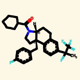 CC(F)(c1ccc2c(c1)CC[C@H]1N(C(=O)C3CCCCC3)CC[C@@]21Cc1ccc(F)cc1)C(F)(F)F